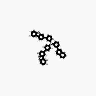 c1cc(-c2ccc3ccccc3c2)cc(N(c2ccc(-c3ccc4sc5ccccc5c4c3)cc2)c2cccc(-c3ccc4c(c3)sc3ccccc34)c2)c1